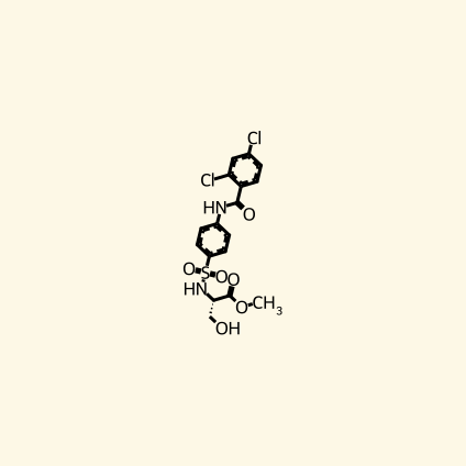 COC(=O)[C@H](CO)NS(=O)(=O)c1ccc(NC(=O)c2ccc(Cl)cc2Cl)cc1